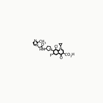 Cc1nccn1CC(=O)NC1CCN(c2c(F)cc3c(=O)c(C(=O)O)cn(C4CC4)c3c2Cl)C1